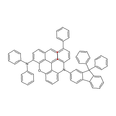 c1ccc(-c2ccc(N(c3ccc4c(c3)C(c3ccccc3)(c3ccccc3)c3ccccc3-4)c3cccc4c3-c3cccc5ccc(N(c6ccccc6)c6ccccc6)c(c35)O4)cc2)cc1